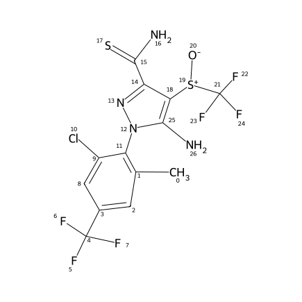 Cc1cc(C(F)(F)F)cc(Cl)c1-n1nc(C(N)=S)c([S+]([O-])C(F)(F)F)c1N